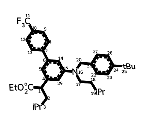 CCOC(=O)C(CC(C)C)c1cc(-c2ccc(C(F)(F)F)cc2)cc(N(CCC(C)C)Cc2ccc(C(C)(C)C)cc2)c1